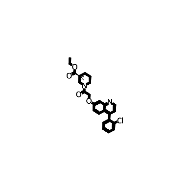 CCOC(=O)[C@H]1CCCN(C(=O)COc2ccc3c(-c4ccccc4Cl)ccnc3c2)C1